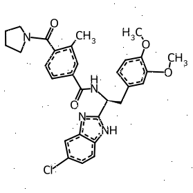 COc1ccc(C[C@H](NC(=O)c2ccc(C(=O)N3CCCC3)c(C)c2)c2nc3cc(Cl)ccc3[nH]2)cc1OC